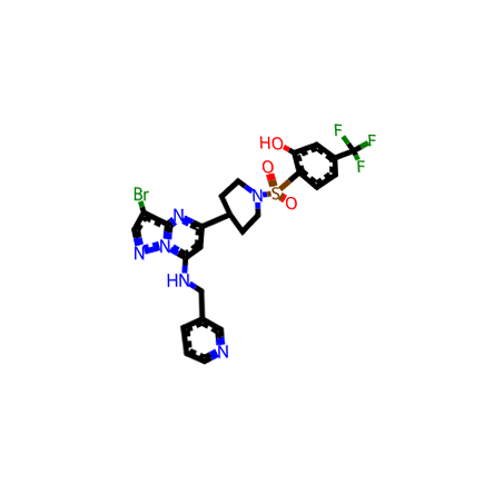 O=S(=O)(c1ccc(C(F)(F)F)cc1O)N1CCC(c2cc(NCc3cccnc3)n3ncc(Br)c3n2)CC1